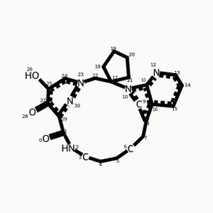 O=C1NCCCCCc2cn(c3ncccc23)C2(CCCC2)Cn2cc(O)c(=O)c1n2